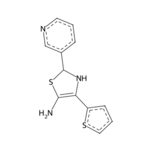 NC1=C(c2cccs2)NC(c2cccnc2)S1